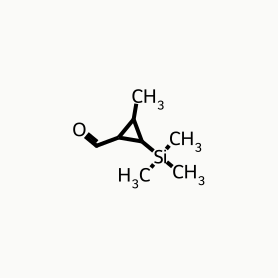 CC1C(C=O)C1[Si](C)(C)C